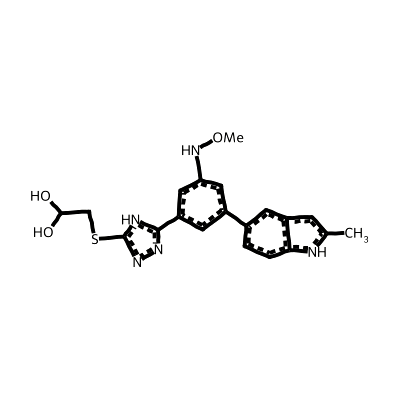 CONc1cc(-c2ccc3[nH]c(C)cc3c2)cc(-c2nnc(SCC(O)O)[nH]2)c1